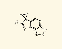 CCC(=O)C1(c2ccc3ocnc3c2)CC1